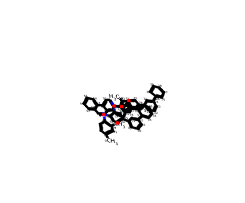 Cc1ccc(-n2c3cc4c(cc(c5c4ccc4c6cc(-c7cccc(-c8ccccc8)c7)ccc6c45)n(-c4ccc(C)cc4C)c4cc(-c5cccc(-c6ccccc6)c5)ccc42)c2ccccc23)c(C)c1